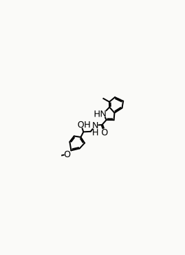 COc1ccc(C(O)CNC(=O)c2cc3cccc(C)c3[nH]2)cc1